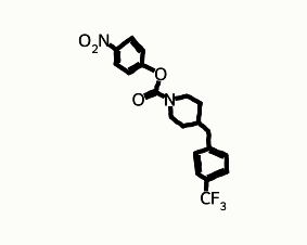 O=C(Oc1ccc([N+](=O)[O-])cc1)N1CCC(Cc2ccc(C(F)(F)F)cc2)CC1